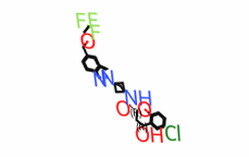 O=C(NC12CC(n3cc4cc(COCC(F)(F)F)ccc4n3)(C1)C2)[C@H]1C[C@@H](O)c2cc(Cl)ccc2O1